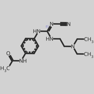 CCN(CC)CCN/C(=N\C#N)Nc1ccc(NC(C)=O)cc1